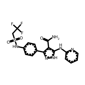 NC(=O)c1c(-c2ccc(NS(=O)(=O)CC(F)(F)F)cc2)n[nH]c1Nc1ccccn1